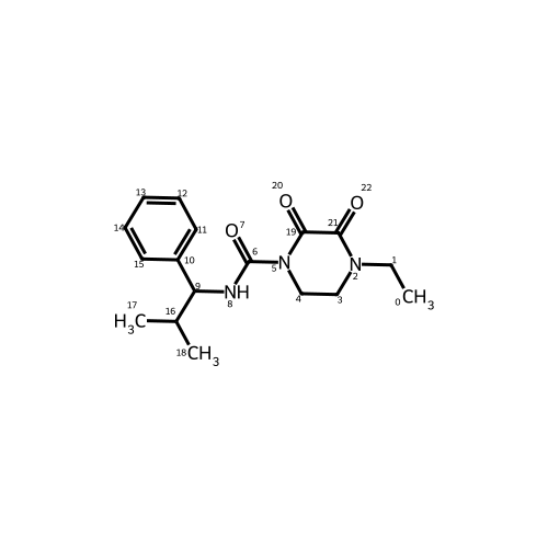 CCN1CCN(C(=O)NC(c2ccccc2)C(C)C)C(=O)C1=O